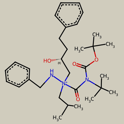 CC(C)C[N+](C[C@H](O)CCc1ccccc1)(NCc1ccccc1)C(=O)N(C(=O)OC(C)(C)C)C(C)(C)C